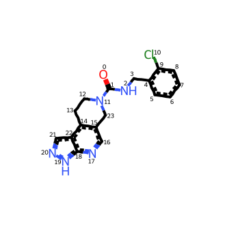 O=C(NCc1ccccc1Cl)N1CCc2c(cnc3[nH]ncc23)C1